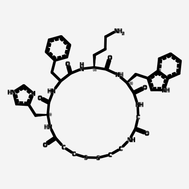 NCCC[C@@H]1NC(=O)C(Cc2ccccc2)NC(=O)[C@H](Cc2c[nH]cn2)NC(=O)CCSSCCNC(=O)CNC(=O)[C@H](Cc2c[nH]c3ccccc23)NC1=O